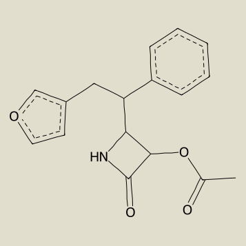 CC(=O)OC1C(=O)NC1C(Cc1ccoc1)c1ccccc1